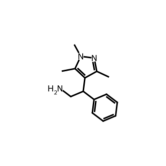 Cc1nn(C)c(C)c1C(CN)c1ccccc1